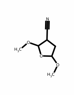 COC1CC(C#N)C(OC)O1